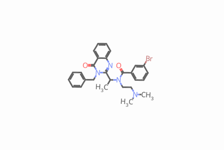 CC(c1nc2ccccc2c(=O)n1Cc1ccccc1)N(CCN(C)C)C(=O)c1cccc(Br)c1